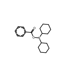 O=C(ON(C1CCCCC1)C1CCCCC1)c1ccccc1